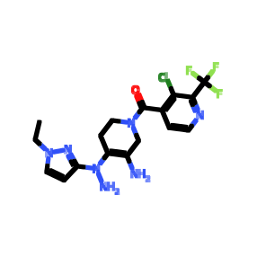 CCn1ccc(N(N)C2=C(N)CN(C(=O)c3ccnc(C(F)(F)F)c3Cl)CC2)n1